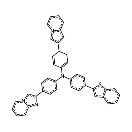 C1=CC(c2cc3ccccn3c2)CC=C1N(c1ccc(-c2cn3ccccc3n2)cc1)c1ccc(-c2cc3ccccc3s2)cc1